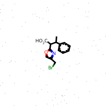 CC(c1ccccc1)C(C(=O)O)c1nc(CBr)co1